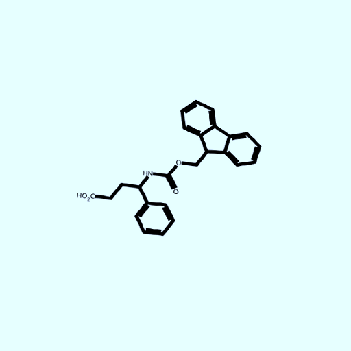 O=C(O)CCC(NC(=O)OCC1c2ccccc2-c2ccccc21)c1ccccc1